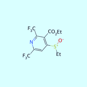 CCOC(=O)c1c([S+]([O-])CC)cc(C(F)(F)F)nc1C(F)(F)F